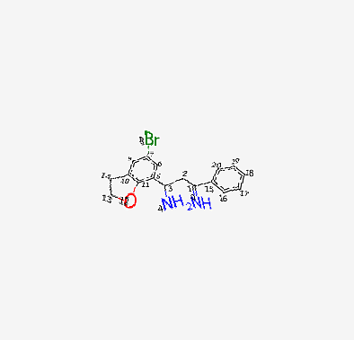 N=C(CC(N)c1cc(Br)cc2c1OCC2)c1ccccc1